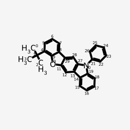 CC(C)(C)c1cccc2c1oc1cc3c4ccccc4n(-c4ccccc4)c3cc12